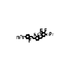 CCCc1ccc(CCc2ccc3c(c2F)Oc2c(cc(CCC)c(F)c2F)C3)c(F)c1